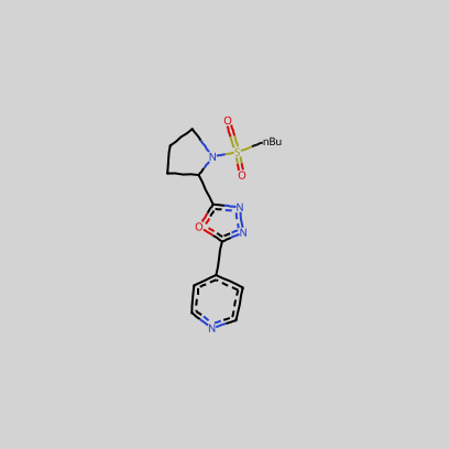 CCCCS(=O)(=O)N1CCCC1c1nnc(-c2ccncc2)o1